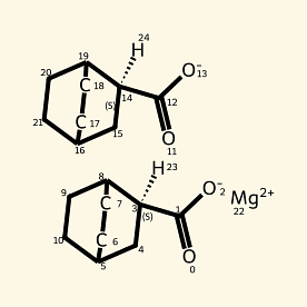 O=C([O-])[C@H]1CC2CCC1CC2.O=C([O-])[C@H]1CC2CCC1CC2.[Mg+2]